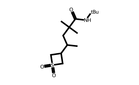 CC(CC(C)(C)C(=O)NC(C)(C)C)C1CS(=O)(=O)C1